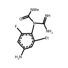 CCc1cc(N)cc(F)c1N(C(=N)N)C(=O)NC